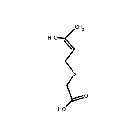 CC(C)=CCSCC(=O)O